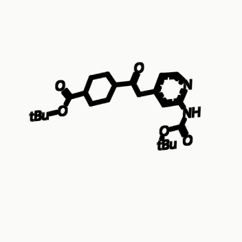 CC(C)(C)OC(=O)Nc1cc(CC(=O)C2CCC(C(=O)OC(C)(C)C)CC2)ccn1